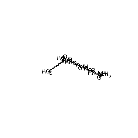 CC[C@@](C=O)(CCCCNC(=O)COCCOCCNC(=O)COCCOCCNC(=O)CC[C@H](NC(=O)CCCCCCCCCCCCC(=O)O)C(=O)O)NI